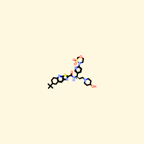 CC(C)(C)C1CCc2nc3sc(C(=O)N[C@H](CCN4CCC(O)CC4)c4ccc(N5CCOCS5(=O)=O)nc4)nc3cc2C1